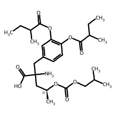 CCC(C)C(=O)Oc1ccc(CC(N)(C[C@H](C)OC(=O)OCC(C)C)C(=O)O)cc1OC(=O)C(C)CC